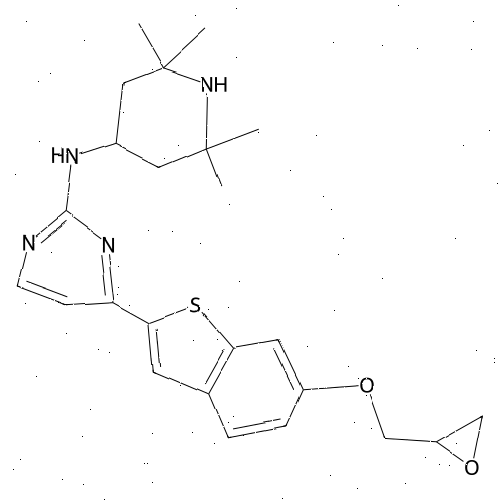 CC1(C)CC(Nc2nccc(-c3cc4ccc(OCC5CO5)cc4s3)n2)CC(C)(C)N1